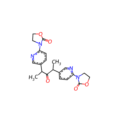 CC(C(=O)C(C)c1ccc(N2CCOC2=O)nc1)c1ccc(N2CCOC2=O)nc1